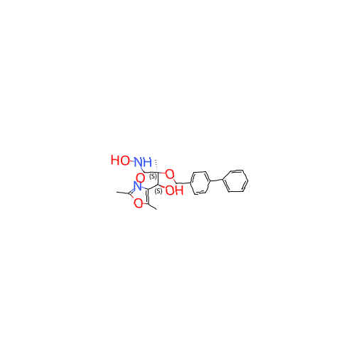 Cc1nc([C@H](O)[C@](C)(OCc2ccc(-c3ccccc3)cc2)C(=O)NO)c(C)o1